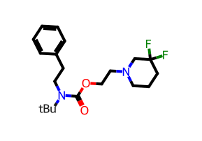 CC(C)(C)N(CCc1ccccc1)C(=O)OCCN1CCCC(F)(F)C1